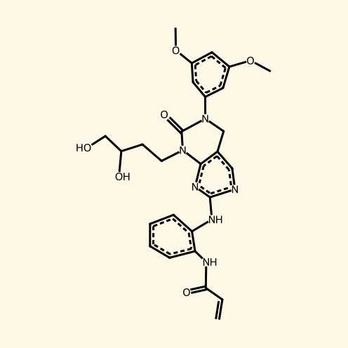 C=CC(=O)Nc1ccccc1Nc1ncc2c(n1)N(CCC(O)CO)C(=O)N(c1cc(OC)cc(OC)c1)C2